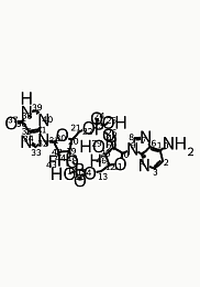 Nc1ccnc2c1ncn2C1OC2COP(=O)(O)O[C@@H]3C(COP(=O)(O)O[C@@H]1[C@@H]2O)OC(n1cnc2c(=O)[nH]cnc21)[C@@H]3F